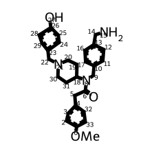 COc1ccc(CC(=O)N(Cc2ccc(CN)cc2)C2CCN(Cc3ccc(O)cc3)CC2)cc1